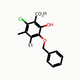 CCc1c(C)c(Cl)c(C(=O)O)c(O)c1OCc1ccccc1